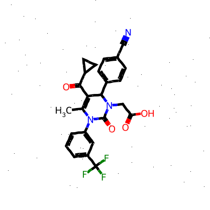 CC1=C(C(=O)C2CC2)C(c2ccc(C#N)cc2)N(CC(=O)O)C(=O)N1c1cccc(C(F)(F)F)c1